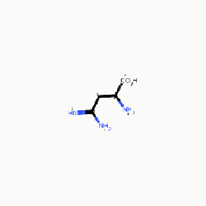 N=C(N)CC(N)C(=O)O